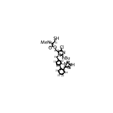 CCCCc1nc(Cl)c(COC(=O)[C@H](CS)NC)n1Cc1ccc(-c2ccccc2-c2nn[nH]n2)cc1